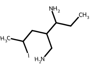 CCC(N)C(CN)CC(C)I